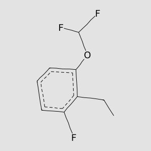 CCc1c(F)cccc1OC(F)F